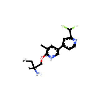 Cc1cc(-c2ccnc(C(F)F)c2)cnc1OCC(C)(N)CC(C)C